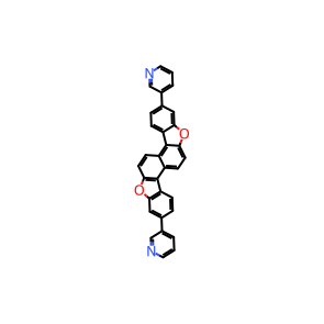 c1cncc(-c2ccc3c(c2)oc2ccc4c(ccc5oc6cc(-c7cccnc7)ccc6c54)c23)c1